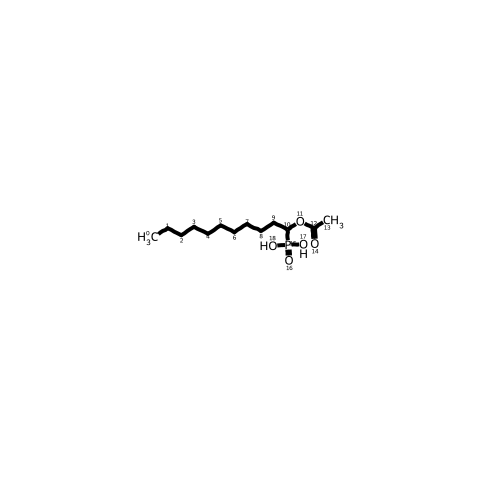 CCCCCCCCCCC(OC(C)=O)P(=O)(O)O